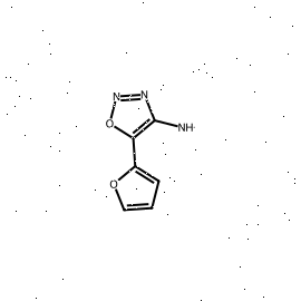 [NH]c1nnoc1-c1ccco1